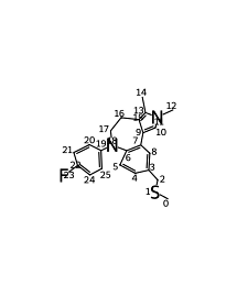 CSCc1ccc2c(c1)-c1cn(C)c(C)c1CCN2c1ccc(F)cc1